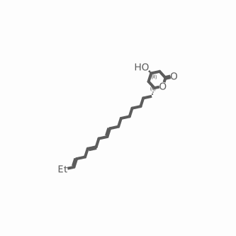 CCC=CCC=CCC=CCCCCCCC[C@@H]1C[C@@H](O)CC(=O)O1